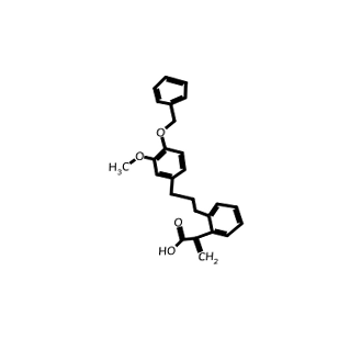 C=C(C(=O)O)c1ccccc1CCCc1ccc(OCc2ccccc2)c(OC)c1